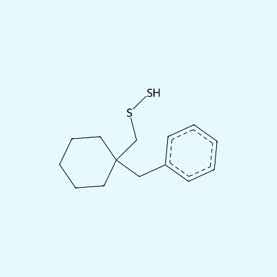 SSCC1(Cc2ccccc2)CCCCC1